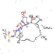 COC[C@@H]1C[C@H](C)CCC=C[C@@H]2C[C@@]2(C(=O)NS(=O)(=O)C2(C)CC2)NC(=O)[C@@H]2C[C@@H](O)CN2C(=O)[C@H]1NC(=O)O